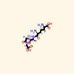 C[C@H](NC(=O)[C@H](C)NC(=O)[C@@H](N)CCC(F)C(N)C(=O)O)C(=O)NCC(=O)O